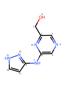 OCc1cncc(Nc2cc[nH]n2)n1